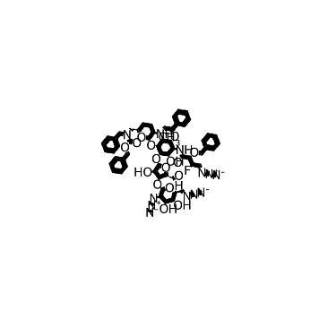 C[C@H]1C[C@@H](NC(=O)[C@@H](OCc2ccccc2)[C@H](F)CN=[N+]=[N-])[C@H](O)[C@@H](O[C@@H]2O[C@H](CO)[C@@H](O[C@H]3O[C@@H](CN=[N+]=[N-])[C@@H](O)[C@H](O)[C@H]3N=[N+]=[N-])[C@H]2O)[C@@H]1O[C@H]1O[C@H](CN(Cc2ccccc2)C(=O)OCc2ccccc2)CC[C@H]1NCC(=O)c1ccccc1